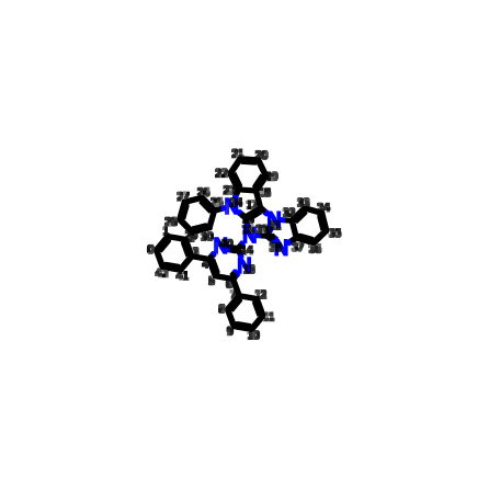 c1ccc(-c2cc(-c3ccccc3)nc(-n3c4c(c5ccccc5n4-c4ccccc4)n4c5ccccc5nc34)n2)cc1